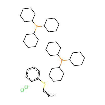 C1CCC(P(C2CCCCC2)C2CCCCC2)CC1.C1CCC(P(C2CCCCC2)C2CCCCC2)CC1.[Cl-].[Cl-].[Ru+2]=[CH]Sc1ccccc1